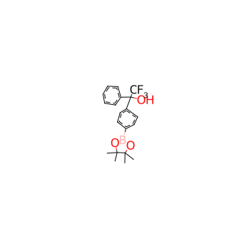 CC1(C)OB(c2ccc(C(O)(c3ccccc3)C(F)(F)F)cc2)OC1(C)C